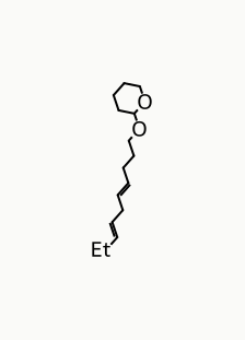 CCC=CCC=CCCCOC1CCCCO1